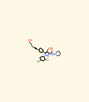 O=C(NN1CCCCC1)c1nn(-c2ccc(Cl)cc2Cl)c(-c2ccc(C#CCCCO)cc2)c1CO